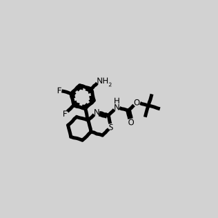 CC(C)(C)OC(=O)NC1=NC2(c3cc(N)cc(F)c3F)CCCCC2CS1